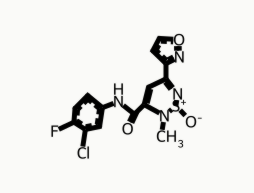 CN1C(C(=O)Nc2ccc(F)c(Cl)c2)=CC(c2ccon2)=N[S+]1[O-]